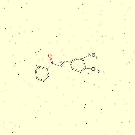 Cc1ccc(/C=C/C(=O)c2ccccc2)cc1[N+](=O)[O-]